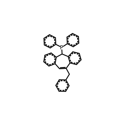 C1=C(Cc2ccccc2)c2ccccc2C(P(c2ccccc2)c2ccccc2)c2ccccc21